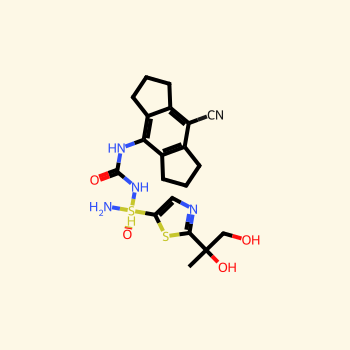 CC(O)(CO)c1ncc([SH](N)(=O)NC(=O)Nc2c3c(c(C#N)c4c2CCC4)CCC3)s1